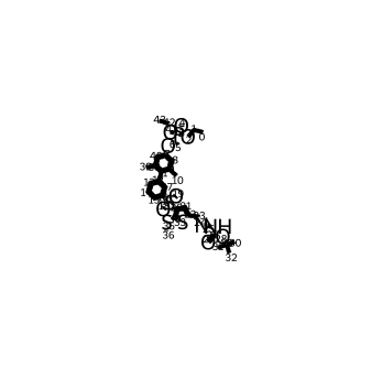 CCOP(=O)(COc1cc(C)c(-c2cccc(S(=O)(=O)c3cc(C=NNC(=O)OC(C)(C)C)sc3SC)c2)c(C)c1)OCC